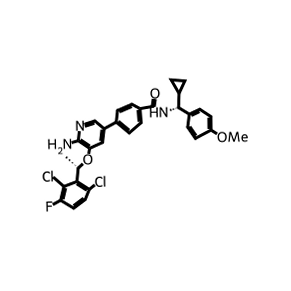 COc1ccc([C@H](NC(=O)c2ccc(-c3cnc(N)c(O[C@@H](C)c4c(Cl)ccc(F)c4Cl)c3)cc2)C2CC2)cc1